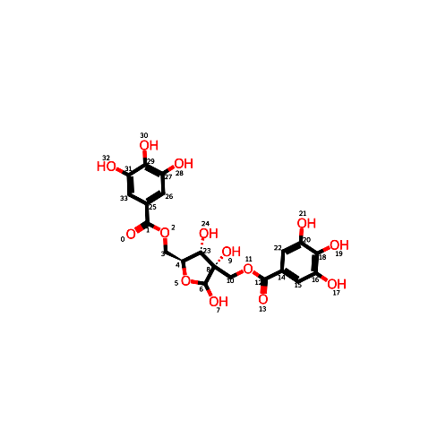 O=C(OC[C@@H]1OC(O)[C@](O)(COC(=O)c2cc(O)c(O)c(O)c2)[C@H]1O)c1cc(O)c(O)c(O)c1